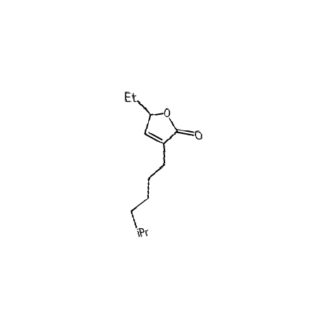 CCC1C=C(CCCCC(C)C)C(=O)O1